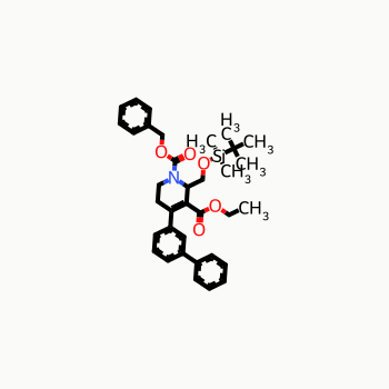 CCOC(=O)C1=C(c2cccc(-c3ccccc3)c2)CCN(C(=O)OCc2ccccc2)C1CO[Si](C)(C)C(C)(C)C